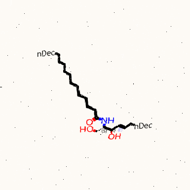 CCCCCCCCCCC/C=C/[C@@H](O)[C@H](CO)NC(=O)CCCCCCCCCCCCCCCCCCCCC